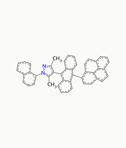 Cc1nn(-c2cccc3ccccc23)c(C)c1-c1c2ccccc2c(-c2ccc3ccc4cccc5ccc2c3c45)c2ccccc12